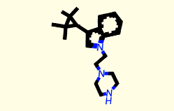 CC1(C)[C](c2cn(CCN3CCNCC3)c3ccccc23)C1(C)C